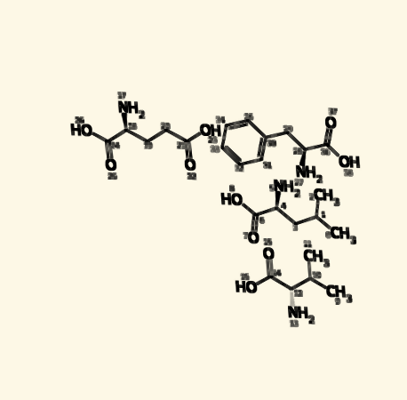 CC(C)C[C@H](N)C(=O)O.CC(C)[C@H](N)C(=O)O.N[C@@H](CCC(=O)O)C(=O)O.N[C@@H](Cc1ccccc1)C(=O)O